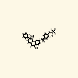 C[C@@H](C(O)c1ccc(OC(=O)c2ccc(CNC(C)(C)C)cc2)cc1)N1CCC(O)(c2ccccc2)CC1